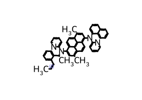 C/C=C\c1ccccc1C(C)N(c1ccccn1)c1cc(C)c2ccc3c(N(c4ccccn4)c4cccc5ccccc45)cc(C)c4ccc1c2c43